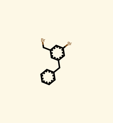 BrCc1cc(Br)cc(Cc2ccccc2)c1